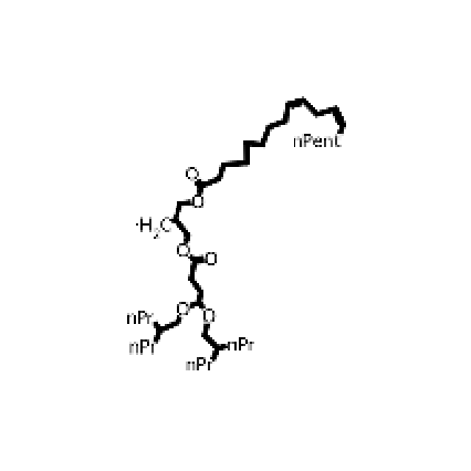 [CH2]C(COC(=O)CCCCCCC/C=C\C/C=C\CCCCC)COC(=O)CCC(OCC(CCC)CCC)OCC(CCC)CCC